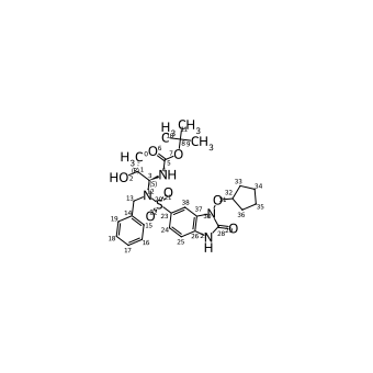 C[C@@H](O)[C@@H](NC(=O)OC(C)(C)C)N(Cc1ccccc1)S(=O)(=O)c1ccc2[nH]c(=O)n(OC3CCCC3)c2c1